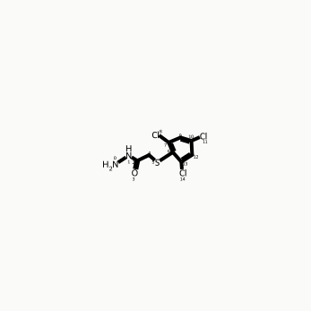 NNC(=O)CSc1c(Cl)cc(Cl)cc1Cl